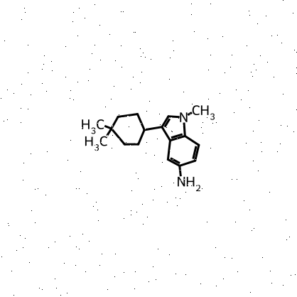 Cn1cc(C2CCC(C)(C)CC2)c2cc(N)ccc21